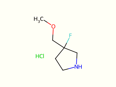 COCC1(F)CCNC1.Cl